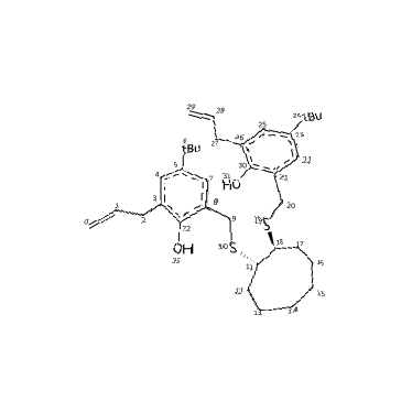 C=CCc1cc(C(C)(C)C)cc(CS[C@H]2CCCCCC[C@@H]2SCc2cc(C(C)(C)C)cc(CC=C)c2O)c1O